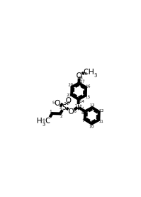 CCCS(=O)(=O)O[I+](c1ccccc1)c1ccc(OC)cc1